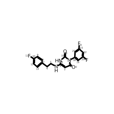 O=c1cc(NCCc2ccc(F)cc2)[nH]c(=O)n1-c1cc(F)cc(F)c1